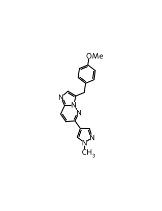 COc1ccc(Cc2cnc3ccc(-c4cnn(C)c4)nn23)cc1